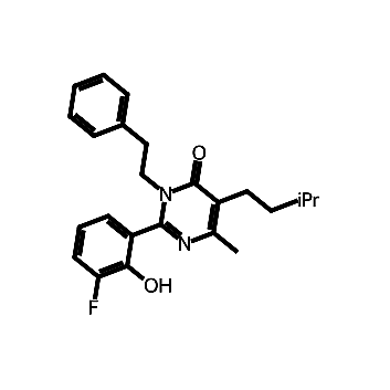 Cc1nc(-c2cccc(F)c2O)n(CCc2ccccc2)c(=O)c1CCC(C)C